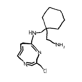 NCC1(Nc2ccnc(Cl)n2)CCCCC1